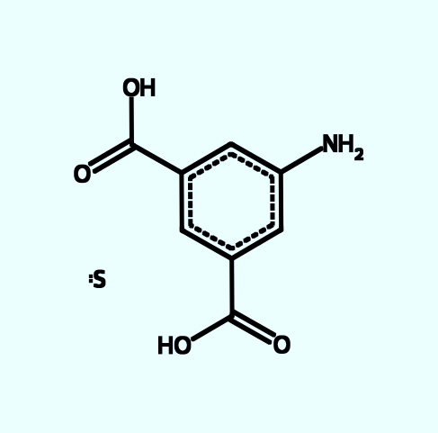 Nc1cc(C(=O)O)cc(C(=O)O)c1.[S]